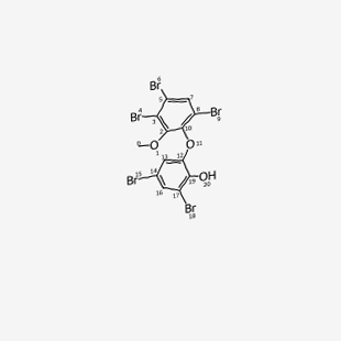 COc1c(Br)c(Br)cc(Br)c1Oc1cc(Br)cc(Br)c1O